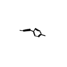 CC#Cc1ccc(C)cc1